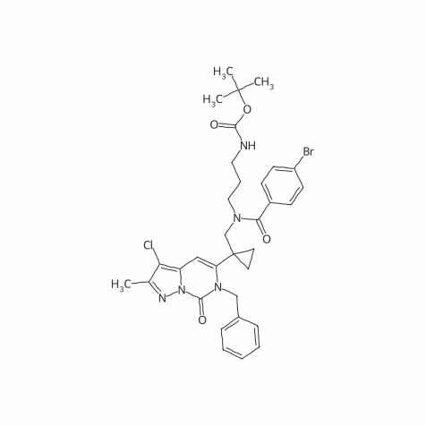 Cc1nn2c(=O)n(Cc3ccccc3)c(C3(CN(CCCNC(=O)OC(C)(C)C)C(=O)c4ccc(Br)cc4)CC3)cc2c1Cl